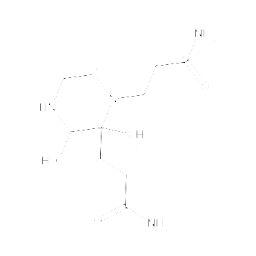 CC1NCCN(CCC(N)=O)C1(C)CCC(N)=O